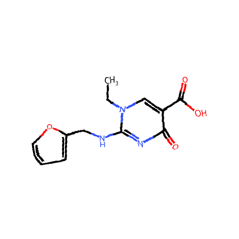 CCn1cc(C(=O)O)c(=O)nc1NCc1ccco1